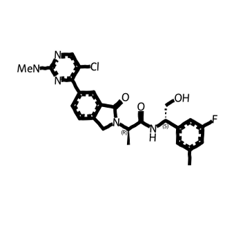 CNc1ncc(Cl)c(-c2ccc3c(c2)C(=O)N([C@H](C)C(=O)N[C@H](CO)c2cc(C)cc(F)c2)C3)n1